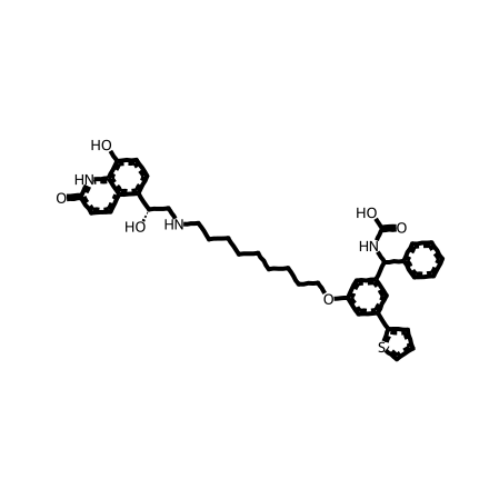 O=C(O)NC(c1ccccc1)c1cc(OCCCCCCCCCNC[C@H](O)c2ccc(O)c3[nH]c(=O)ccc23)cc(-c2cccs2)c1